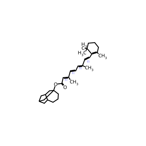 CC1=C(/C=C/C(C)=C/C=C/C(C)=C/C(=O)OC23CCCC4CC(CC4C2)C3)C(C)(C)CCC1